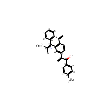 C=Cc1ccc(C(=C)C(=O)c2ccc(C(C)(C)C)cc2)cc1/C(=C(\C)C=O)c1ccccc1